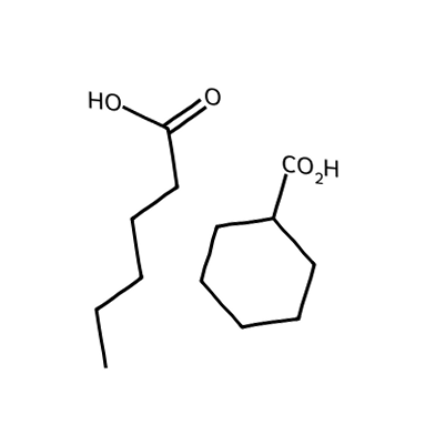 CCCCCC(=O)O.O=C(O)C1CCCCC1